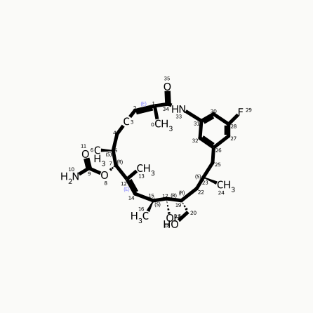 C/C1=C\CC[C@H](C)[C@@H](OC(N)=O)/C(C)=C/[C@H](C)[C@@H](O)[C@@H](CO)C[C@H](C)Cc2cc(F)cc(c2)NC1=O